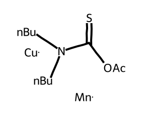 CCCCN(CCCC)C(=S)OC(C)=O.[Cu].[Mn]